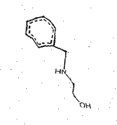 OCCN[CH]c1ccccc1